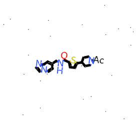 CC(=O)N1CCC(c2ccc(C(=O)NCc3ccn4ccnc4c3)s2)CC1